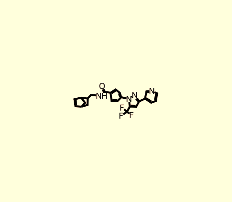 O=C(NCC1CC2C=CC1C2)c1ccc(-n2nc(-c3cccnc3)cc2C(F)(F)F)cc1